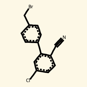 N#Cc1ccc(Cl)cc1-c1ccc(CBr)cc1